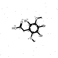 COc1c(Br)c(Br)c(OC)c(CC(=O)O)c1Br